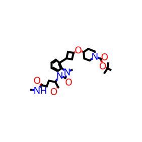 CNC(=O)CCC(C=O)n1c(=O)n(C)c2c(C3CC(OC4CCN(C(=O)OC(C)(C)C)CC4)C3)cccc21